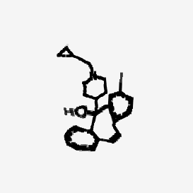 OC1(C2CCN(CC3CC3)CC2)c2ccccc2C=Cc2ccc(I)cc21